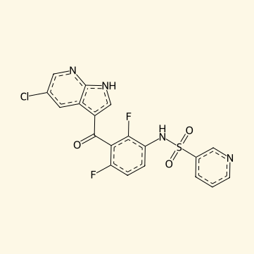 O=C(c1c(F)ccc(NS(=O)(=O)c2cccnc2)c1F)c1c[nH]c2ncc(Cl)cc12